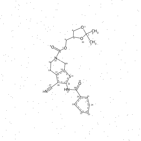 CC1(C)OCC(COC(=O)N2CCc3c(sc(NC(=O)c4ccccc4)c3C#N)C2)O1